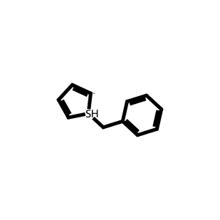 [C]1=CC=C[SH]1Cc1ccccc1